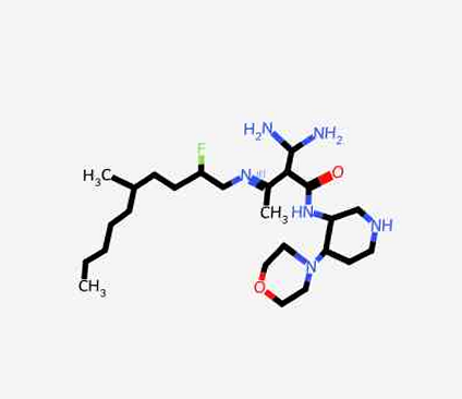 CCCCCC(C)CCC(F)C/N=C(\C)C(C(=O)NC1CNCCC1N1CCOCC1)C(N)N